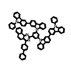 c1ccc(-c2ccc(-c3nc(-c4cc(-n5c6ccccc6c6ccc(-c7ccc8c(c7)c7ccccc7n8-c7ccccc7)cc65)cc(-n5c6ccccc6c6ccc(-c7ccc8c(c7)c7ccccc7n8-c7ccccc7)cc65)c4)nc4c3ccc3ccccc34)cc2)cc1